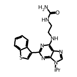 CC(C)n1cnc2c(NCCNC(N)=O)nc(-c3csc4ccccc34)nc21